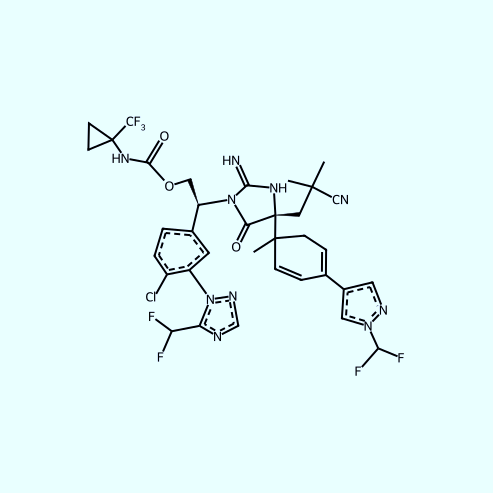 CC(C)(C#N)C[C@]1(C2(C)C=CC(c3cnn(C(F)F)c3)=CC2)NC(=N)N([C@H](COC(=O)NC2(C(F)(F)F)CC2)c2ccc(Cl)c(-n3ncnc3C(F)F)c2)C1=O